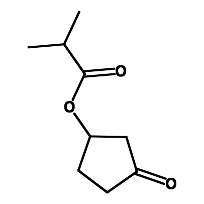 CC(C)C(=O)OC1CCC(=O)C1